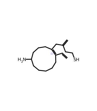 C=C/C1=C(\CC(=C)CCS)CCCC(N)CCCCC1